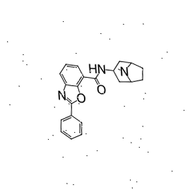 CN1C2CCC1CC(NC(=O)c1cccc3nc(-c4ccccc4)oc13)C2